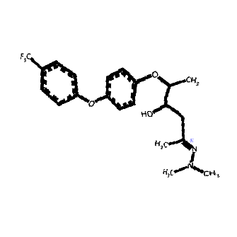 C/C(CC(O)C(C)Oc1ccc(Oc2ccc(C(F)(F)F)cc2)cc1)=N\N(C)C